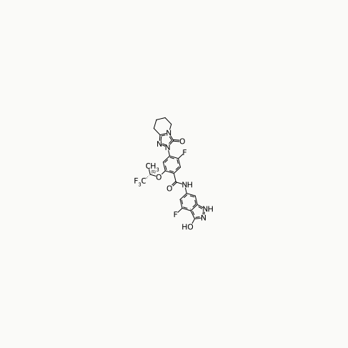 C[C@H](Oc1cc(-n2nc3n(c2=O)CCCC3)c(F)cc1C(=O)Nc1cc(F)c2c(O)n[nH]c2c1)C(F)(F)F